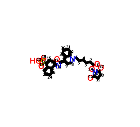 O=C(CCCCC[n+]1ccc(-c2nc3c(cc(S(=O)(=O)O)c4ccccc43)o2)c2ccccc21)ON1C(=O)CCC1=O